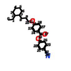 CCC1CCCCC1CCCOc1ccc(C(=O)Oc2ccc(C#N)cc2)cc1